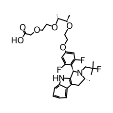 C[C@@H]1Cc2c([nH]c3ccccc23)[C@@H](c2c(F)cc(OCCO[C@H](C)[C@@H](C)OCCOCC(=O)O)cc2F)N1CC(C)(C)F